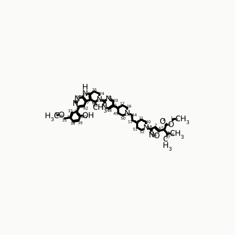 CCOC(=O)C(c1cc(N2CCC(CCN3CCC(c4cnc(N5CCc6[nH]c7nnc(-c8cc(COC)ccc8O)cc7c6[C@@H]5C)nc4)CC3)CC2)no1)C(C)C